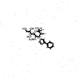 CC(=O)N[C@H]1[C@H]([C@H](O)[C@H](O)CO)OC(F)(C(=O)O)C(F)[C@@H]1n1cc(-c2cccnc2)nn1